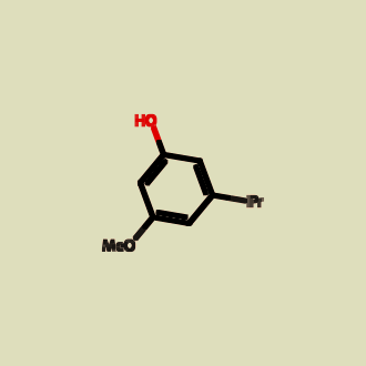 COc1cc(O)cc(C(C)C)c1